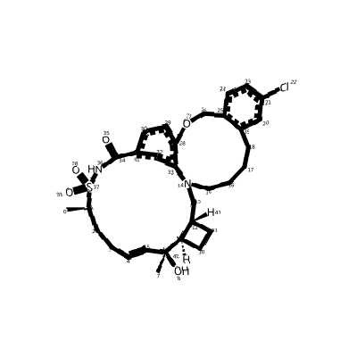 C[C@@H]1CC/C=C/[C@@](C)(O)[C@@H]2CC[C@H]2CN2CCCCc3cc(Cl)ccc3COc3ccc(cc32)C(=O)NS1(=O)=O